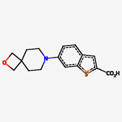 O=C(O)c1cc2ccc(N3CCC4(CC3)COC4)cc2s1